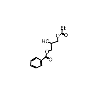 CCC(=O)OCC(O)COC(=O)c1ccccc1